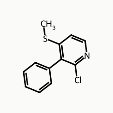 CSc1ccnc(Cl)c1-c1ccccc1